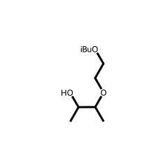 CC(C)COCCOC(C)C(C)O